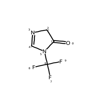 O=C1[C]N=[C]N1C(F)(F)F